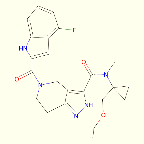 CCOCC1(N(C)C(=O)c2[nH]nc3c2CN(C(=O)c2cc4c(F)cccc4[nH]2)CC3)CC1